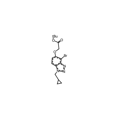 CC(C)(C)OC(=O)COc1ccc2c(nnn2CC2CC2)c1Br